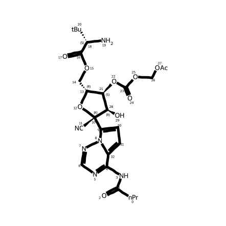 CCCC(=O)Nc1ncnn2c([C@]3(C#N)O[C@H](COC(=O)[C@@H](N)C(C)(C)C)[C@@H](OC(=O)OCOC(C)=O)[C@H]3O)ccc12